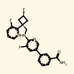 NC(=O)c1cccc(-c2cnc(NC[C@]3(c4ncccc4F)C[C@H](F)C3)c(F)c2)c1